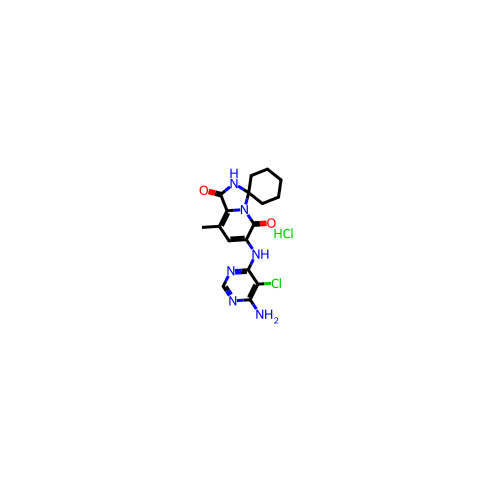 Cc1cc(Nc2ncnc(N)c2Cl)c(=O)n2c1C(=O)NC21CCCCC1.Cl